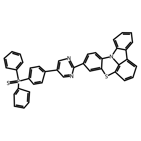 S=P(c1ccccc1)(c1ccccc1)c1ccc(-c2cnc(-c3ccc4c(c3)Sc3cccc5c6ccccc6n-4c35)nc2)cc1